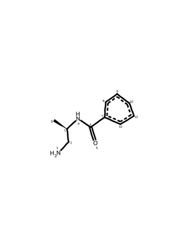 C[C@H](CN)NC(=O)c1ccccc1